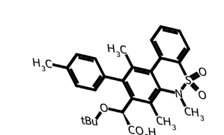 Cc1ccc(-c2c(C)c3c(c(C)c2[C@H](OC(C)(C)C)C(=O)O)N(C)S(=O)(=O)c2ccccc2-3)cc1